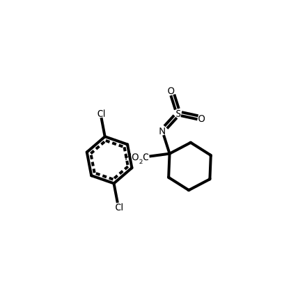 Clc1ccc(Cl)cc1.O=C(O)C1(N=S(=O)=O)CCCCC1